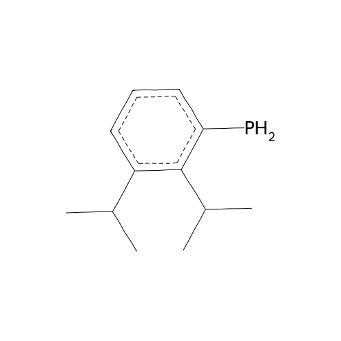 CC(C)c1cccc(P)c1C(C)C